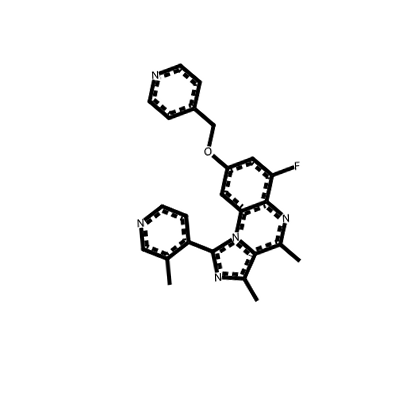 Cc1cnccc1-c1nc(C)c2c(C)nc3c(F)cc(OCc4ccncc4)cc3n12